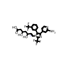 Nc1cc(-c2nc(C(F)(F)F)n(/C=C/C(O)CC(O)CC(=O)O)c2-c2cccc(C(F)(F)F)c2)ccn1